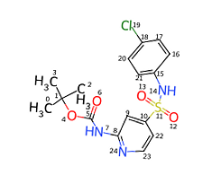 CC(C)(C)OC(=O)Nc1cc(S(=O)(=O)Nc2ccc(Cl)cc2)ccn1